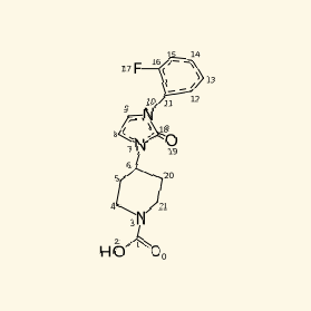 O=C(O)N1CCC(n2ccn(-c3ccccc3F)c2=O)CC1